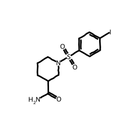 NC(=O)C1CCCN(S(=O)(=O)c2ccc(I)cc2)C1